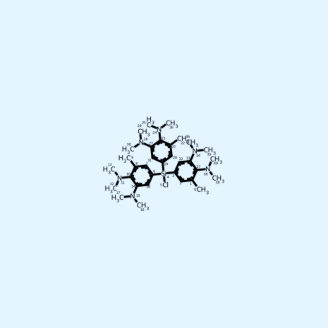 Cc1cc([Si](Cl)(c2cc(C)c(N(C)C)c(N(C)C)c2)c2cc(C)c(N(C)C)c(N(C)C)c2)cc(N(C)C)c1N(C)C